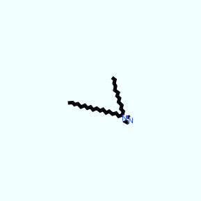 CCCCCCCCCCCCCCCCCC(CCCCCCCCCCCC)n1ccnc1